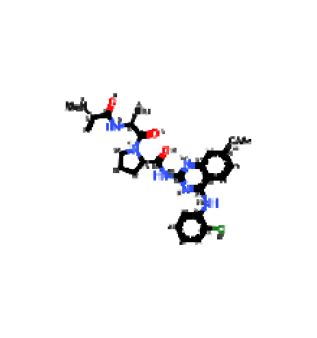 CN[C@@H](C)C(=O)N[C@H](C(=O)N1CCC[C@H]1C(=O)Nc1nc(Nc2ccccc2Cl)c2ccc(OC)cc2n1)C(C)(C)C